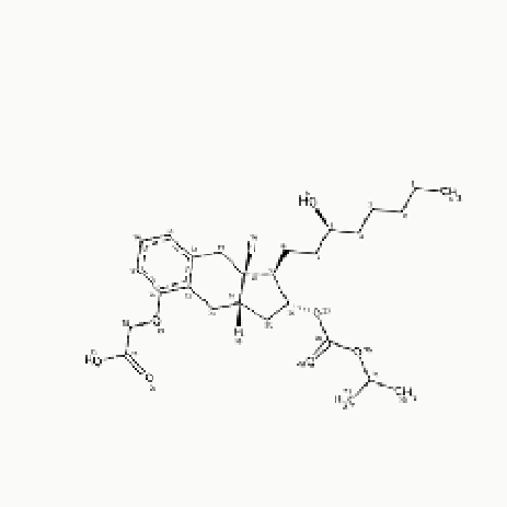 CCCCC[C@H](O)CC[C@@H]1[C@H]2Cc3cccc(OCC(=O)O)c3C[C@H]2C[C@H]1OC(=O)OC(C)C